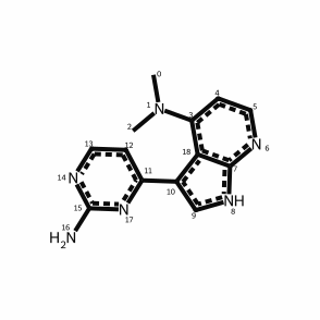 CN(C)c1ccnc2[nH]cc(-c3ccnc(N)n3)c12